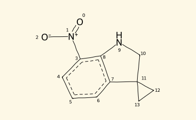 O=[N+]([O-])c1cccc2c1NCC21CC1